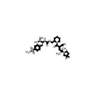 CC(C)(C=C(C#N)C(=O)N1CCCCC1COC(=O)N[C@@H](Cc1ccc(S(C)(=O)=O)cc1)B(O)O)N1CCC(F)(F)C1